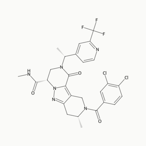 CNC(=O)[C@@H]1CN([C@H](C)c2ccnc(C(F)(F)F)c2)C(=O)c2c3c(nn21)C[C@@H](C)N(C(=O)c1ccc(Cl)c(Cl)c1)C3